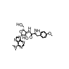 COc1ccc(C[C@@H](N)C(=O)N[C@H]2[C@H](O)[C@H](n3cnc4c(N(C)C)ncnc43)O[C@@H]2CO)cc1